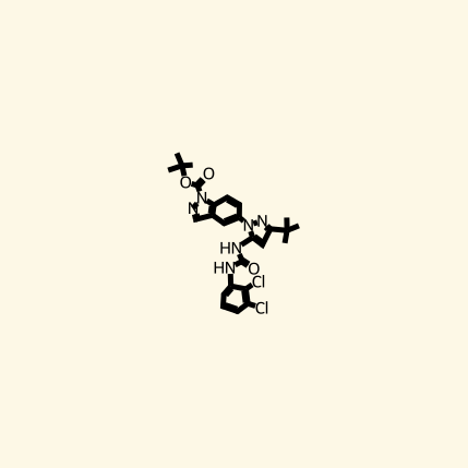 CC(C)(C)OC(=O)n1ncc2cc(-n3nc(C(C)(C)C)cc3NC(=O)Nc3cccc(Cl)c3Cl)ccc21